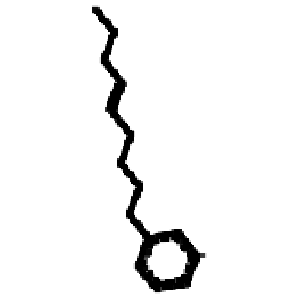 CCC/C=C/CCCCc1c[c]ccc1